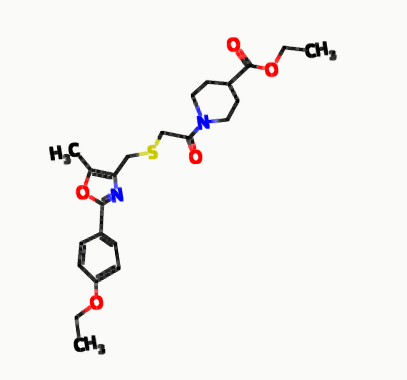 CCOC(=O)C1CCN(C(=O)CSCc2nc(-c3ccc(OCC)cc3)oc2C)CC1